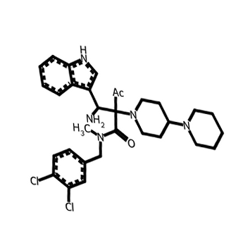 CC(=O)C(C(=O)N(C)Cc1ccc(Cl)c(Cl)c1)(C(N)c1c[nH]c2ccccc12)N1CCC(N2CCCCC2)CC1